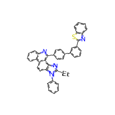 CCc1nc2c3c(-c4ccc(-c5cccc(-c6nc7ccccc7s6)c5)cc4)nc4ccccc4c3ccc2n1-c1ccccc1